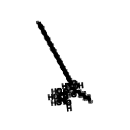 CC#CC#CC#CC#CC#CC#CC#CC#CC#CC#CC(=O)N[C@@H](COC1OC(CO)C(O)C(O)C1O)[C@H](O)[C@H](O)CCCCCC